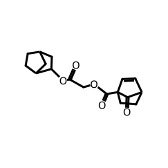 O=C(COC(=O)C12C=CC(CC1)C2=O)OC1CC2CCC1C2